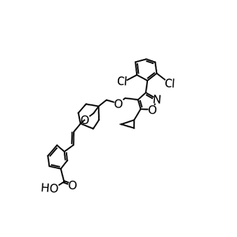 O=C(O)c1cccc(C=CC23CCC(COCc4c(-c5c(Cl)cccc5Cl)noc4C4CC4)(CC2)CO3)c1